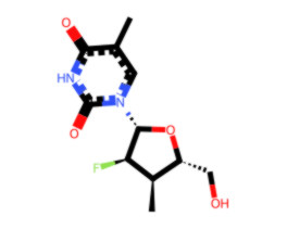 Cc1cn([C@@H]2O[C@H](CO)[C@@H](C)[C@H]2F)c(=O)[nH]c1=O